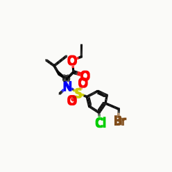 CCOC(=O)[C@H](CC(C)C)N(C)S(=O)(=O)c1ccc(CBr)c(Cl)c1